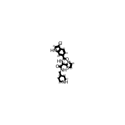 O=C(NC(C(=O)NCC1CCNCC1)c1nccs1)c1ccc2c(Cl)c[nH]c2c1